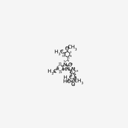 COc1ccc(CCN(C(=O)NC2=NCC(SC(C)(C)C(=O)O)S2)[C@H]2CC[C@H](C)CC2)cc1C